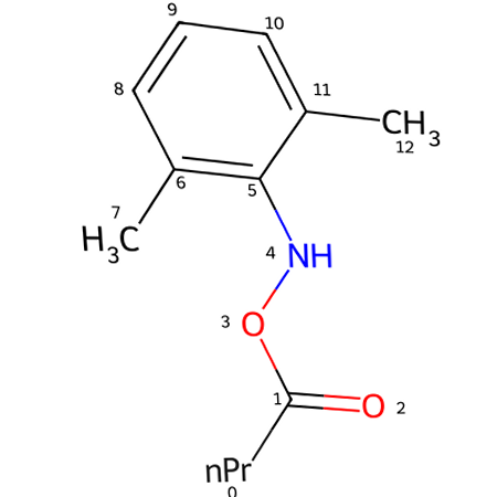 CCCC(=O)ONc1c(C)cccc1C